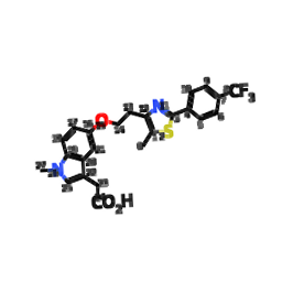 Cc1sc(-c2ccc(C(F)(F)F)cc2)nc1CCOc1ccc2c(c1)c(CC(=O)O)cn2C